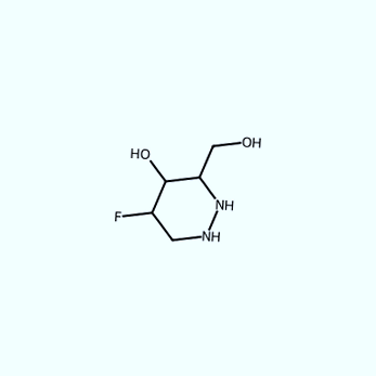 OCC1NNCC(F)C1O